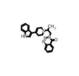 CC(Cn1nnc2ccccc2c1=O)N1CC=C(c2c[nH]c3ccccc23)CC1